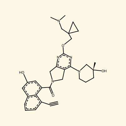 C#Cc1cccc2cc(O)cc(C(=O)N3Cc4nc(OCC5(CN(C)C)CC5)nc(N5CCC[C@@](C)(O)C5)c4C3)c12